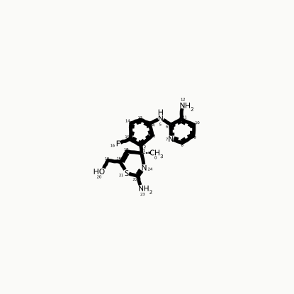 C[C@@]1(c2cc(Nc3ncccc3N)ccc2F)C=C(CO)SC(N)=N1